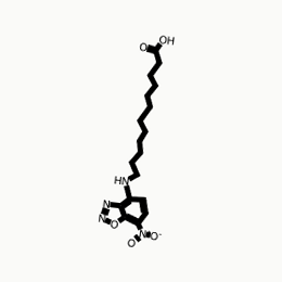 O=C(O)CCCCCCCCCCCNc1ccc([N+](=O)[O-])c2onnc12